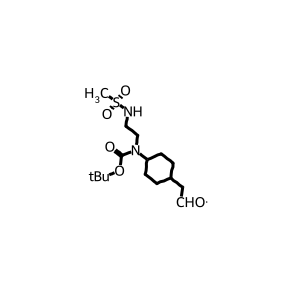 CC(C)(C)OC(=O)N(CCNS(C)(=O)=O)C1CCC(C[C]=O)CC1